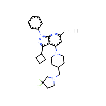 O=C(O)c1cc(N2CCC(CN3CCC(F)(F)C3)CC2)c2c(C3CCC3)nn(-c3ccccc3)c2n1